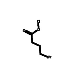 CC(C)CCCC(=O)OCl